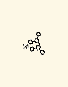 C(=C1C=C(c2ccccc2)SC(c2ccccc2)=C1)c1cc(-c2ccccc2)[s+]c(-c2ccccc2)c1.[O-][Cl+3]([O-])([O-])[O-]